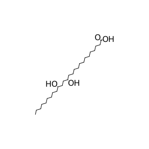 CCCCCCCCCC(O)CCC(O)CCCCCCCCCCCCC(=O)O